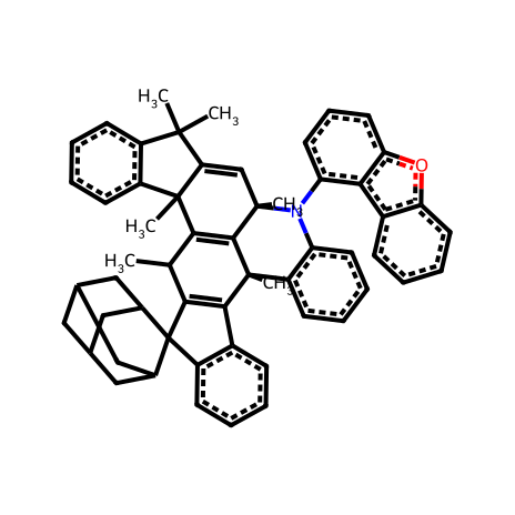 CC1C2=C3C(C)(C4=C1C1(c5ccccc54)C4CC5CC(C4)CC1C5)c1ccccc1N(c1cccc4oc5ccccc5c14)C3(C)C=C1C(C)(C)c3ccccc3C12C